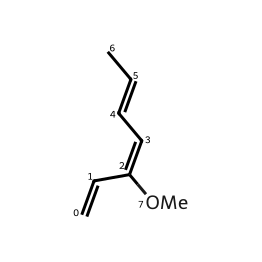 C=C/C(=C\C=C\C)OC